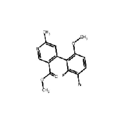 COC(=O)c1cnc(C)cc1-c1c(OC)ccc(Br)c1F